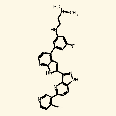 Cc1ccncc1-c1ccc2[nH]nc(-c3cc4c(-c5cc(F)cc(NCCN(C)C)c5)ccnc4[nH]3)c2n1